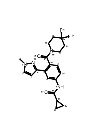 Cn1ccc(-c2cc(NC(=O)C3CC3)ccc2C(=O)N2CCC(F)(F)CC2)n1